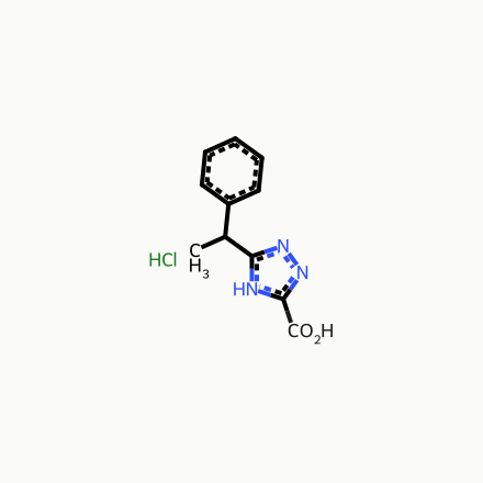 CC(c1ccccc1)c1nnc(C(=O)O)[nH]1.Cl